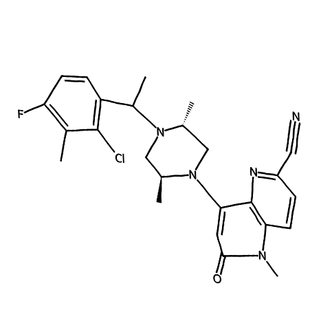 Cc1c(F)ccc(C(C)N2C[C@H](C)N(c3cc(=O)n(C)c4ccc(C#N)nc34)C[C@H]2C)c1Cl